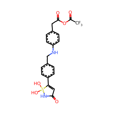 O=C1C=C(c2ccc(CNc3ccc(CC(=O)OC(=O)C(F)(F)F)cc3)cc2)S(O)(O)N1